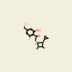 BCc1cc(O)c(C(=O)C[C@H]2C(C)C(C)C2C2CC2)c(F)c1